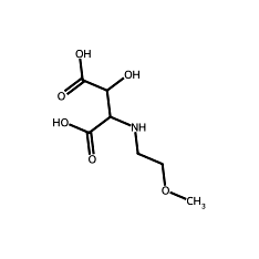 COCCNC(C(=O)O)C(O)C(=O)O